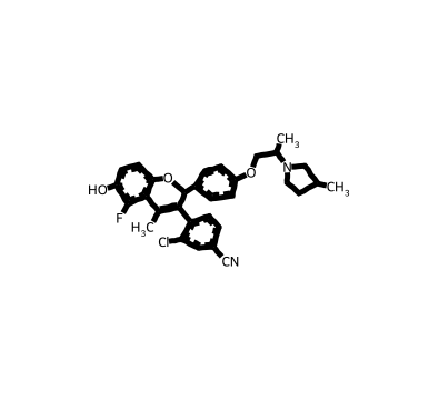 CC1=C(c2ccc(C#N)cc2Cl)C(c2ccc(OCC(C)N3CCC(C)C3)cc2)Oc2ccc(O)c(F)c21